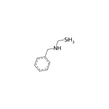 [SiH3]CNCc1ccccc1